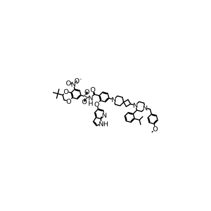 COc1ccc(CN2CCN(C3CC4(CCN(c5ccc(C(=O)NS(=O)(=O)c6cc7c(c([N+](=O)[O-])c6)OC(C(C)(C)C)CO7)c(Oc6cnc7[nH]ccc7c6)c5)CC4)C3)C(c3ccccc3C(C)C)C2)cc1